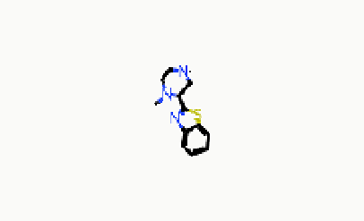 CN1CC[N]CC1c1nc2ccccc2s1